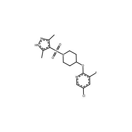 Cc1n[nH]c(C)c1S(=O)(=O)N1CCC(Oc2ncc(Cl)cc2F)CC1